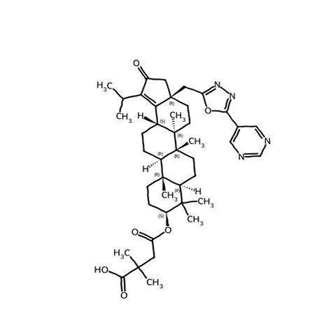 CC(C)C1=C2[C@H]3CC[C@@H]4[C@@]5(C)CC[C@H](OC(=O)CC(C)(C)C(=O)O)C(C)(C)[C@@H]5CC[C@@]4(C)[C@]3(C)CC[C@@]2(Cc2nnc(-c3cncnc3)o2)CC1=O